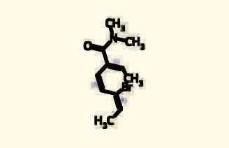 C\C=C(Br)/C=C\C(=C/C)C(=O)N(C)C